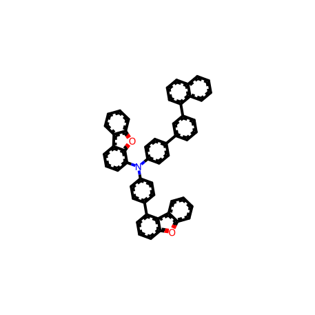 c1cc(-c2ccc(N(c3ccc(-c4cccc5oc6ccccc6c45)cc3)c3cccc4c3oc3ccccc34)cc2)cc(-c2cccc3ccccc23)c1